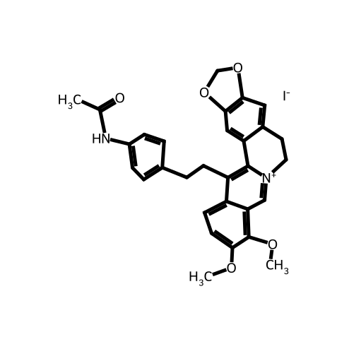 COc1ccc2c(CCc3ccc(NC(C)=O)cc3)c3[n+](cc2c1OC)CCc1cc2c(cc1-3)OCO2.[I-]